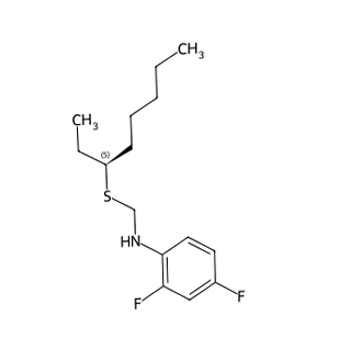 CCCCC[C@H](CC)SCNc1ccc(F)cc1F